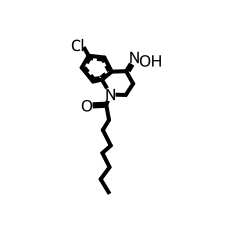 CCCCCCCC(=O)N1CCC(=NO)c2cc(Cl)ccc21